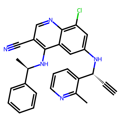 C#C[C@@H](Nc1cc(Cl)c2ncc(C#N)c(N[C@H](C)c3ccccc3)c2c1)c1cccnc1C